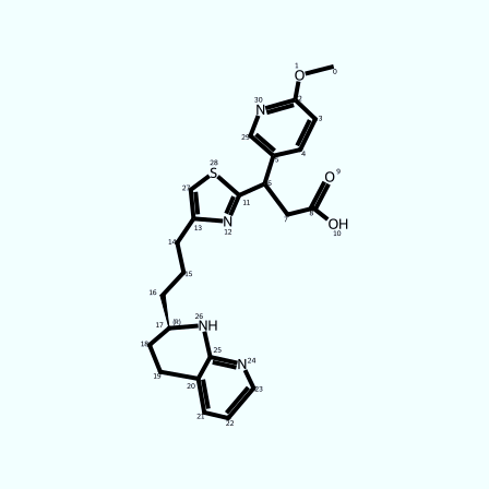 COc1ccc(C(CC(=O)O)c2nc(CCC[C@@H]3CCc4cccnc4N3)cs2)cn1